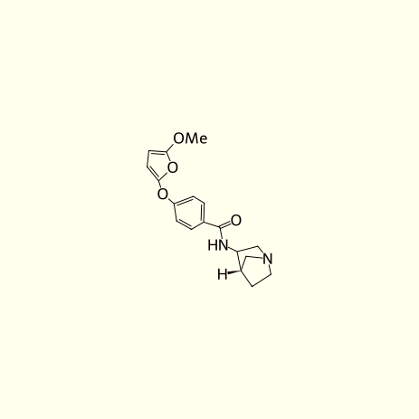 COc1ccc(Oc2ccc(C(=O)NC3CN4CC[C@H]3C4)cc2)o1